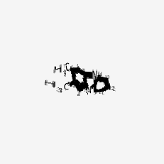 Cc1cc2c(cc1C)=NC1(CCCCC1)N=2